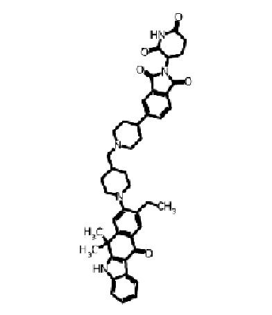 CCc1cc2c(cc1N1CCC(CN3CCC(c4ccc5c(c4)C(=O)N(C4CCC(=O)NC4=O)C5=O)CC3)CC1)C(C)(C)c1[nH]c3ccccc3c1C2=O